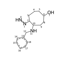 N=NC1CCCC(O)CCC1NCc1ccccc1